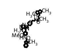 COc1cc(-c2nn(C3CCN(CCNC(=O)[C@@H](C)CCC45CC(C)CC4CC(C)C5)CC3)c3ncnc(N)c23)ccc1NC(=O)c1cc2ccccc2n1C